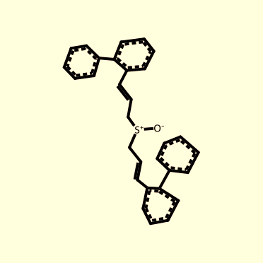 [O-][S+](C/C=C/c1ccccc1-c1ccccc1)C/C=C/c1ccccc1-c1ccccc1